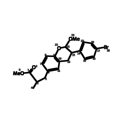 COC(=O)C(C)Cc1ccc2c(c1)CC(c1ccc(Br)cc1)C(OC)O2